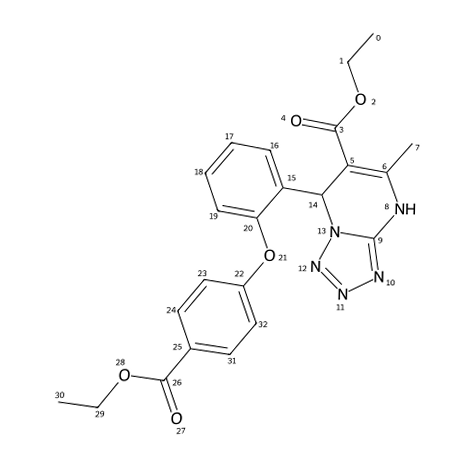 CCOC(=O)C1=C(C)Nc2nnnn2C1c1ccccc1Oc1ccc(C(=O)OCC)cc1